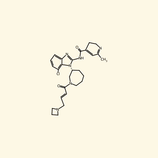 CC1=NCCC(C(=O)Nc2nc3cccc(Cl)c3n2[C@@H]2CCCCN(C(=O)/C=C/CN3CCC3)C2)=C1